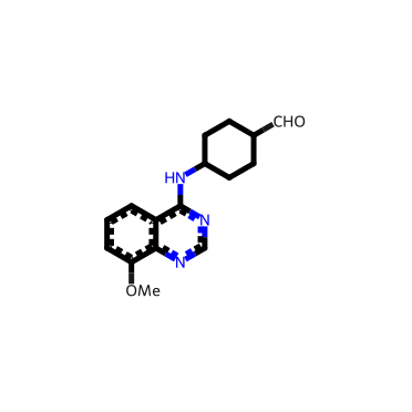 COc1cccc2c(NC3CCC(C=O)CC3)ncnc12